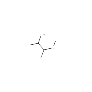 CCCNC(CC)C(C)CCC